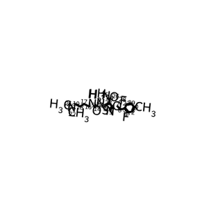 Cc1cc(F)c(COc2nsc(NC(=O)NCCCCN(C)C)c2C(N)=O)c(F)c1